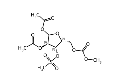 COC(=O)OC[C@H]1OC(OC(C)=O)[C@H](OC(C)=O)[C@H]1OS(C)(=O)=O